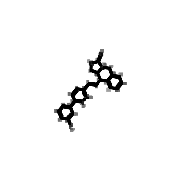 O=C1OCC2C(/C=C/c3ccc(-c4cccc(F)c4)nn3)c3ccccc3CN12